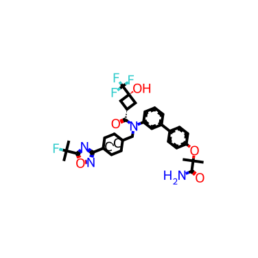 CC(C)(Oc1ccc(-c2cccc(N(CC34CCC(c5noc(C(C)(C)F)n5)(CC3)CC4)C(=O)[C@H]3C[C@](O)(C(F)(F)F)C3)c2)cc1)C(N)=O